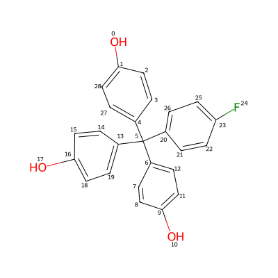 Oc1ccc(C(c2ccc(O)cc2)(c2ccc(O)cc2)c2ccc(F)cc2)cc1